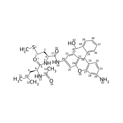 CSCC[C@H](NC(=O)[C@H](CC(C)C)NC(C)=O)C(=O)Nc1ccc2c(c1)Oc1cc(N)ccc1C2c1ccccc1CO